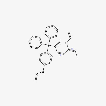 C=COC(/C=C\C(=C)C(c1ccccc1)(c1ccccc1)c1ccc(OC=C)cc1)=C/C